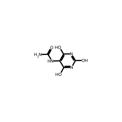 NC(=O)Nc1c(O)nc(O)nc1O